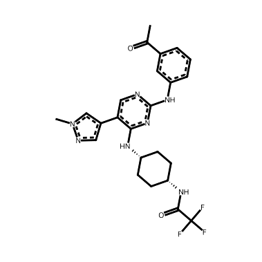 CC(=O)c1cccc(Nc2ncc(-c3cnn(C)c3)c(N[C@H]3CC[C@@H](NC(=O)C(F)(F)F)CC3)n2)c1